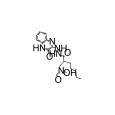 CCCCCC(CN(O)C=O)C(=O)NNc1nc2ccccc2[nH]c1=O